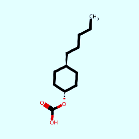 CCCCC[C@H]1CC[C@H](OC(=O)O)CC1